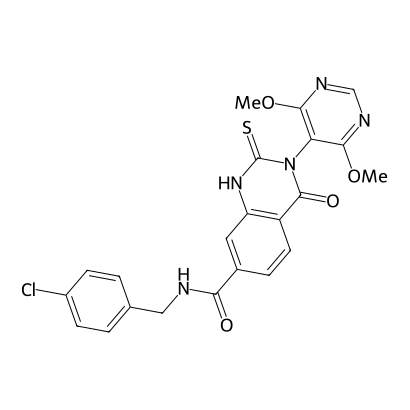 COc1ncnc(OC)c1-n1c(=S)[nH]c2cc(C(=O)NCc3ccc(Cl)cc3)ccc2c1=O